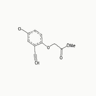 C#Cc1cc(Cl)ccc1OCC(=O)OC